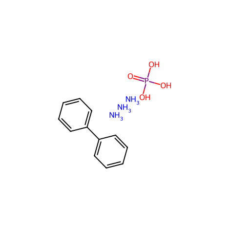 N.N.N.O=P(O)(O)O.c1ccc(-c2ccccc2)cc1